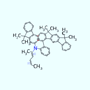 C/C=C\C=C(/C)N(c1ccc2c(c1)C(C)(C)c1ccccc1-2)c1ccccc1-c1cccc2c1-c1cc3c(cc1C2(C)C)C(C)(C)c1ccccc1-3